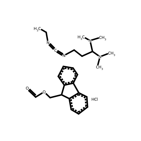 CCN=C=NCCC(N(C)C)N(C)C.Cl.O=COCC1c2ccccc2-c2ccccc21